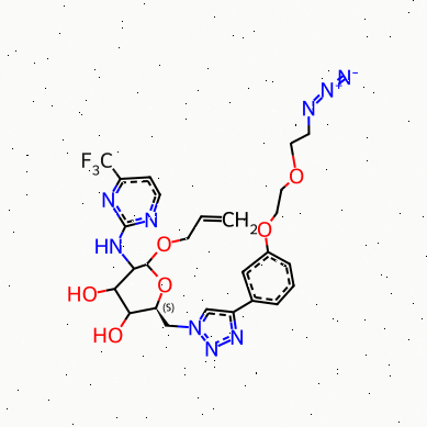 C=CCOC1O[C@@H](Cn2cc(-c3cccc(OCCOCCN=[N+]=[N-])c3)nn2)C(O)C(O)C1Nc1nccc(C(F)(F)F)n1